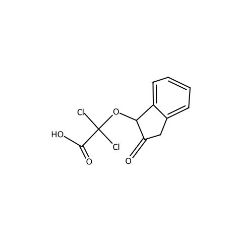 O=C1Cc2ccccc2C1OC(Cl)(Cl)C(=O)O